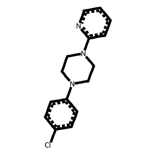 Clc1ccc(N2CCN(c3ccc[c]n3)CC2)cc1